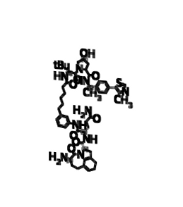 Cc1ncsc1-c1ccc([C@H](C)NC(=O)C2C[C@@H](O)CN2C(=O)[C@@H](NC(=O)CCCCCc2cccc(NC(=O)[C@H](CCC(N)=O)NC(=O)[C@@H]3CC4=C5C(=CCC4)CC[C@H](N)C(=O)N53)c2)C(C)(C)C)cc1